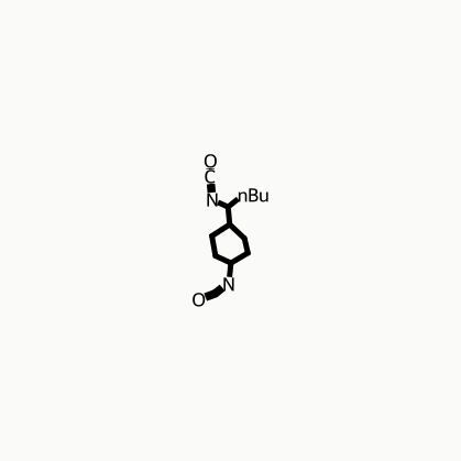 CCCCC(N=C=O)C1CCC(N=C=O)CC1